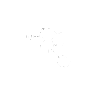 Nc1ccc(F)c(C(=O)Nc2ccccc2)c1F